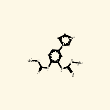 CC(C)(C)OC(=O)Oc1ccc(-n2ccnc2)cc1OC(=O)OC(C)(C)C